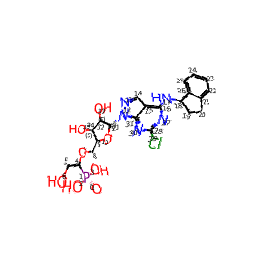 O=P(O)(O)C(CO)OCC1O[C@@H](n2ncc3c(NC4CCc5ccccc54)nc(Cl)nc32)[C@H](O)[C@@H]1O